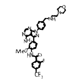 COc1cc(-c2nn(-c3ccc(CNCCN4CCOCC4)cc3)c3ncnc(N)c23)ccc1NC(=O)c1ccc(C(F)(F)F)cc1F